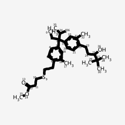 CCC(c1ccc(CCSCCC(=O)OC)c(C)c1)(c1ccc(CCC(O)C(C)(C)C)c(C)c1)C(C)I